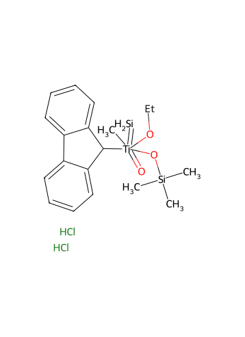 CC[O][Ti]([CH3])(=[O])(=[SiH2])([O][Si](C)(C)C)[CH]1c2ccccc2-c2ccccc21.Cl.Cl